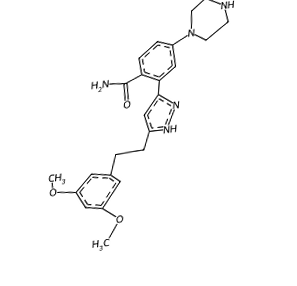 COc1cc(CCc2cc(-c3cc(N4CCNCC4)ccc3C(N)=O)n[nH]2)cc(OC)c1